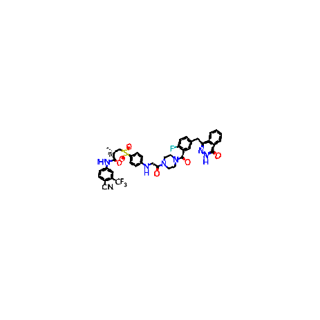 C[C@H](CS(=O)(=O)c1ccc(NCC(=O)N2CCN(C(=O)c3cc(Cc4n[nH]c(=O)c5ccccc45)ccc3F)CC2)cc1)C(=O)Nc1ccc(C#N)c(C(F)(F)F)c1